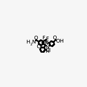 NC(=O)c1ccc(C2(c3c(Cl)cccc3Cl)Nc3ccc(C(=O)O)cc3N2)c(C(F)(F)F)c1